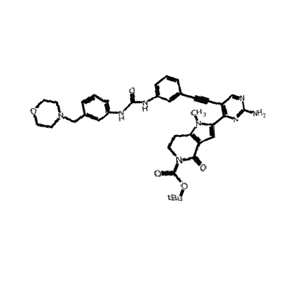 Cn1c(-c2nc(N)ncc2C#Cc2cccc(NC(=O)Nc3cccc(CN4CCOCC4)c3)c2)cc2c1CCN(C(=O)OC(C)(C)C)C2=O